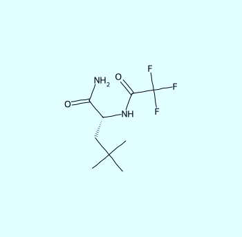 CC(C)(C)C[C@@H](NC(=O)C(F)(F)F)C(N)=O